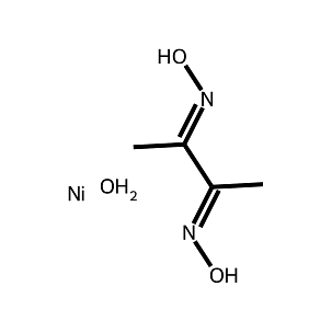 CC(=N\O)/C(C)=N/O.O.[Ni]